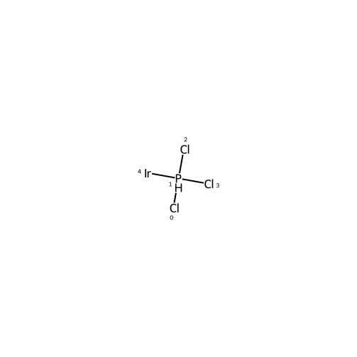 Cl[PH](Cl)(Cl)[Ir]